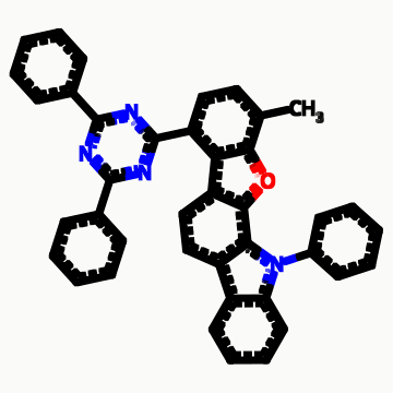 Cc1ccc(-c2nc(-c3ccccc3)nc(-c3ccccc3)n2)c2c1oc1c2ccc2c3ccccc3n(-c3ccccc3)c21